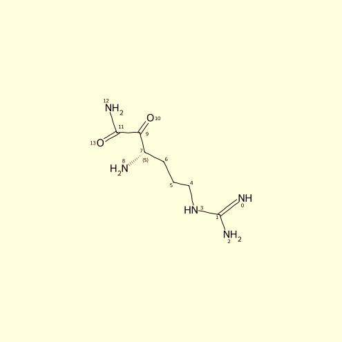 N=C(N)NCCC[C@H](N)C(=O)C(N)=O